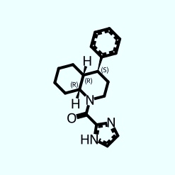 O=C(c1ncc[nH]1)N1CC[C@H](c2ccccc2)[C@H]2CCCC[C@H]21